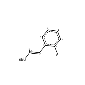 CCCCN=Cc1ccccc1C